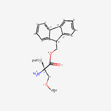 CC(C)(C)OC[C@@](N)(C(=O)O)C(=O)OCC1c2ccccc2-c2ccccc21